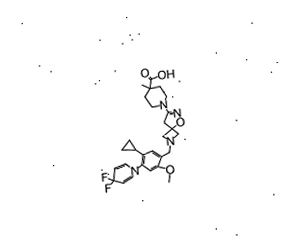 COc1cc(N2C=CC(F)(F)C=C2)c(C2CC2)cc1CN1CC2(CC(N3CCC(C)(C(=O)O)CC3)=NO2)C1